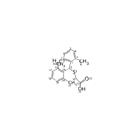 Cc1cccc(C)c1C(SCC(=O)O)c1c(C)cccc1C